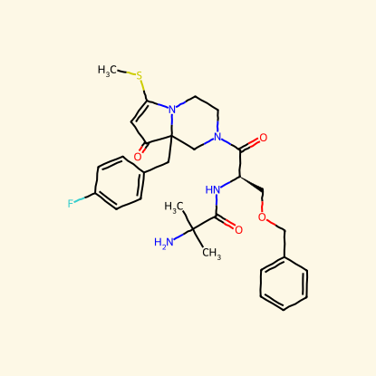 CSC1=CC(=O)C2(Cc3ccc(F)cc3)CN(C(=O)[C@@H](COCc3ccccc3)NC(=O)C(C)(C)N)CCN12